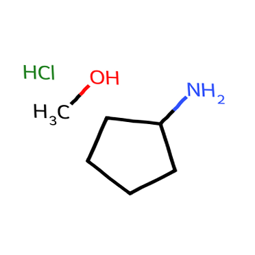 CO.Cl.NC1CCCC1